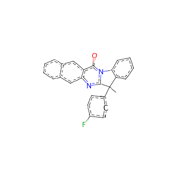 CC1(c2ccc(F)cc2)c2ccccc2-n2c1nc1cc3ccccc3cc1c2=O